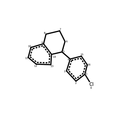 Clc1ccc(C2CCCc3ccccc32)cc1